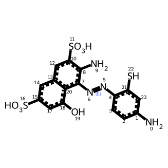 Nc1ccc(/N=N/c2c(N)c(S(=O)(=O)O)cc3cc(S(=O)(=O)O)cc(O)c23)c(S)c1